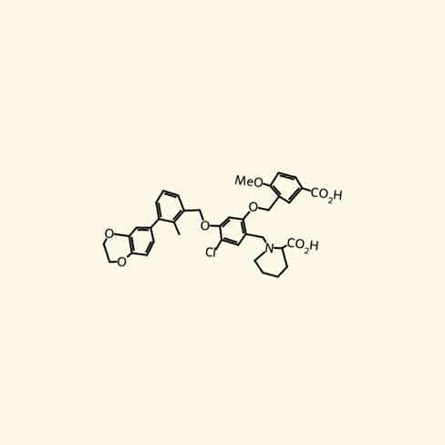 COc1ccc(C(=O)O)cc1COc1cc(OCc2cccc(-c3ccc4c(c3)OCCO4)c2C)c(Cl)cc1CN1CCCCC1C(=O)O